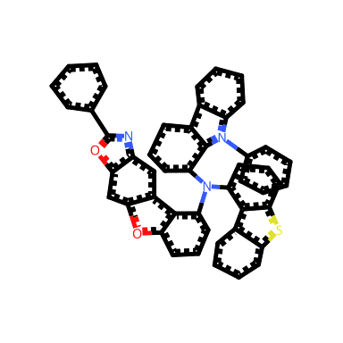 c1ccc(-c2nc3cc4c(cc3o2)oc2cccc(N(c3cccc5sc6ccccc6c35)c3cccc5c6ccccc6n(-c6ccccc6)c35)c24)cc1